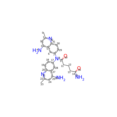 Cc1cc(N)c2cc(N(C(=O)CCCC(N)=O)c3ccc4nc(C)cc(N)c4c3)ccc2n1